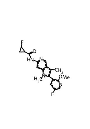 COc1ncc(F)cc1-c1c(C)c2cnc(NC(=O)C3CC3F)cc2n1C